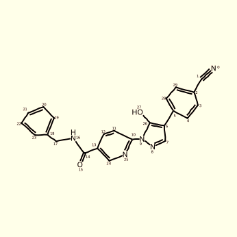 N#Cc1ccc(-c2cnn(-c3ccc(C(=O)NCc4ccccc4)cn3)c2O)cc1